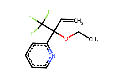 C=CC(OCC)(c1ccccn1)C(F)(F)F